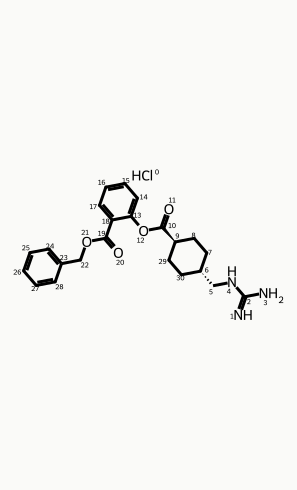 Cl.N=C(N)NC[C@H]1CC[C@H](C(=O)Oc2ccccc2C(=O)OCc2ccccc2)CC1